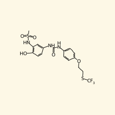 CS(=O)(=O)Nc1cc(NC(=O)Nc2ccc(OCCSC(F)(F)F)cc2)ccc1O